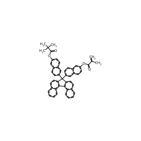 C=C(C)C(=O)Oc1ccc2cc(C3(c4ccc5cc(OC(=O)C(C)(C)C)ccc5c4)c4ccc5ccccc5c4-c4c3ccc3ccccc43)ccc2c1